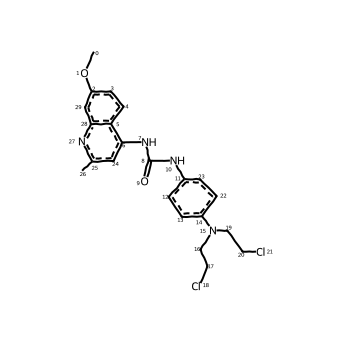 COc1ccc2c(NC(=O)Nc3ccc(N(CCCl)CCCl)cc3)cc(C)nc2c1